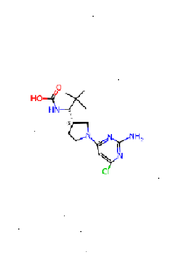 CC(C)(C)C(NC(=O)O)[C@H]1CCN(c2cc(Cl)nc(N)n2)C1